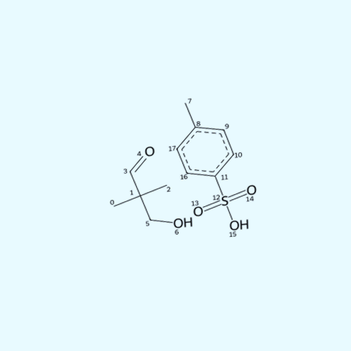 CC(C)(C=O)CO.Cc1ccc(S(=O)(=O)O)cc1